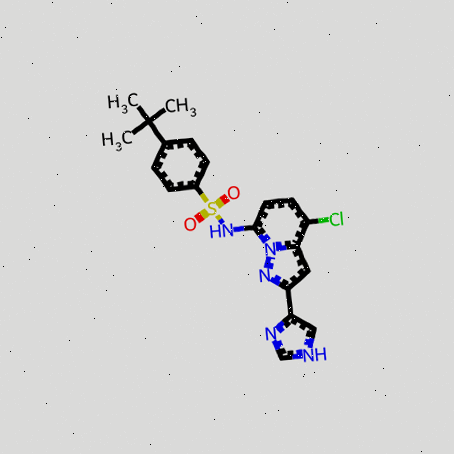 CC(C)(C)c1ccc(S(=O)(=O)Nc2ccc(Cl)c3cc(-c4c[nH]cn4)nn23)cc1